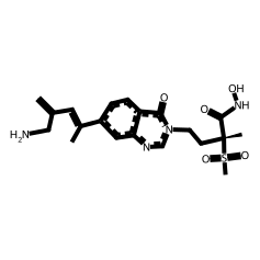 C=C(/C=C(\C)c1ccc2c(=O)n(CC[C@](C)(C(=O)NO)S(C)(=O)=O)cnc2c1)CN